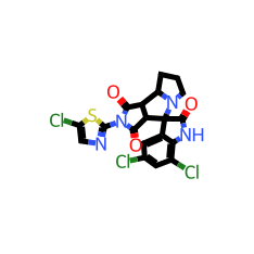 O=C1C2C3CCCN3C3(C(=O)Nc4c(Cl)cc(Cl)cc43)C2C(=O)N1c1ncc(Cl)s1